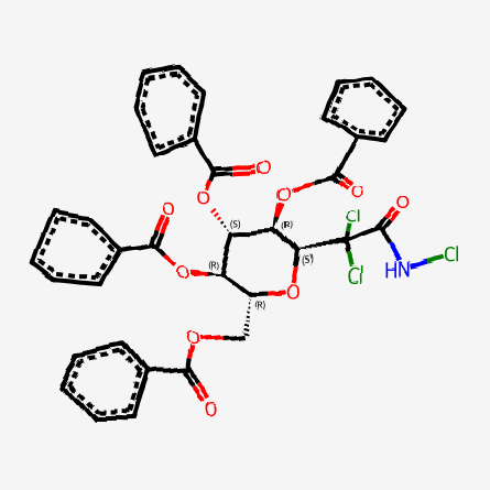 O=C(OC[C@H]1O[C@H](C(Cl)(Cl)C(=O)NCl)[C@H](OC(=O)c2ccccc2)[C@@H](OC(=O)c2ccccc2)[C@@H]1OC(=O)c1ccccc1)c1ccccc1